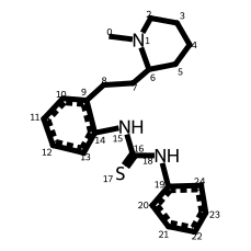 CN1CCCCC1CCc1ccccc1NC(=S)Nc1ccccc1